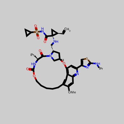 C=C[C@@H]1C[C@]1(NC[C@@H]1C[C@@H]2CN1C(=O)[C@H](C(C)C)NC(=O)OCCCCCc1cc3c(cc(-c4csc(NC(C)C)n4)nc3cc1OC)O2)C(=O)NS(=O)(=O)C1CC1